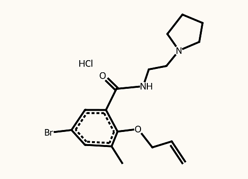 C=CCOc1c(C)cc(Br)cc1C(=O)NCCN1CCCC1.Cl